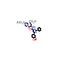 CCOC(=O)N1CCN(C(=O)C(CCC(=O)O)NC(=O)c2cc(-c3ccc4c(c3)OCO4)nc(-c3ccccc3)n2)CC1